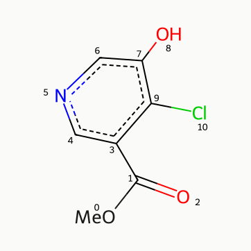 COC(=O)c1cncc(O)c1Cl